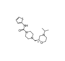 CC(C)N1CCO[C@@H](CN2CCN(C(=O)Nc3cccs3)CC2)C1